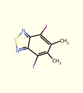 Cc1c(C)c(I)c2nsnc2c1I